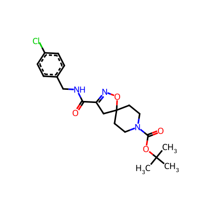 CC(C)(C)OC(=O)N1CCC2(CC1)CC(C(=O)NCc1ccc(Cl)cc1)=NO2